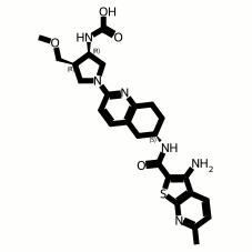 COC[C@@H]1CN(c2ccc3c(n2)CC[C@H](NC(=O)c2sc4nc(C)ccc4c2N)C3)C[C@@H]1NC(=O)O